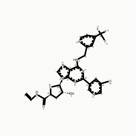 C=CNC(=O)[C@@H]1C[C@@H](O)[C@H](n2cnc3c(NCc4cc(C(F)(F)F)ccn4)nc(-c4cncc(Cl)c4)nc32)O1